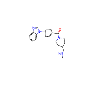 CNCC1CCN(C(=O)c2ccc(-n3cnc4ccccc43)cc2)CC1